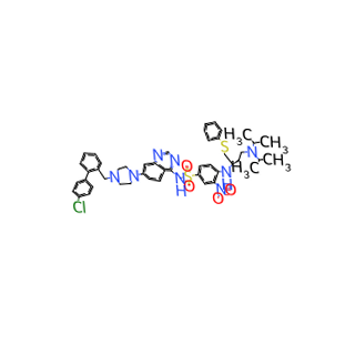 CC(C)N(CC[C@H](CSc1ccccc1)Nc1ccc(S(=O)(=O)Nc2ncnc3cc(N4CCN(Cc5ccccc5-c5ccc(Cl)cc5)CC4)ccc23)cc1[N+](=O)[O-])C(C)C